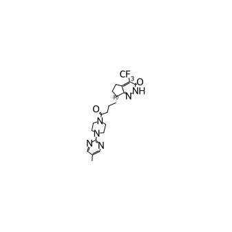 Cc1cnc(N2CCN(C(=O)CCC[C@@H]3CCc4c3n[nH]c(=O)c4C(F)(F)F)CC2)nc1